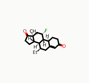 CC[C@@H]1CC2=CC(=O)CC[C@@H]2[C@@H]2[C@@H]1[C@@H]1CCC(=O)[C@@]1(C)C[C@@H]2F